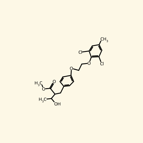 COC(=O)C(Cc1ccc(OCCOc2c(Cl)cc(C)cc2Cl)cc1)C(C)O